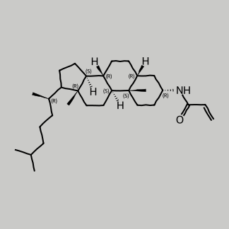 C=CC(=O)N[C@@H]1CC[C@@]2(C)[C@H](CC[C@@H]3[C@@H]2CC[C@]2(C)C([C@H](C)CCCC(C)C)CC[C@@H]32)C1